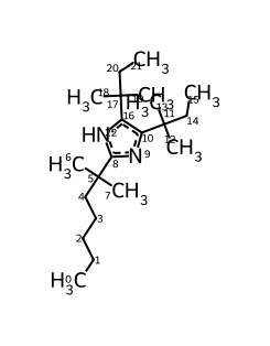 CCCCCC(C)(C)c1nc(C(C)(C)CC)c(C(C)(C)CC)[nH]1